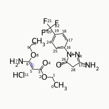 CCOC(=O)/C=C(/N)OCC.Cl.NC1=NN(c2ccc(C(F)(F)F)cc2)C(=O)C1